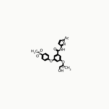 CC(=O)n1ccc(NC(=O)c2cc(Oc3ccc(S(C)(=O)=O)cc3)cc(O[C@@H](C)CO)c2)n1